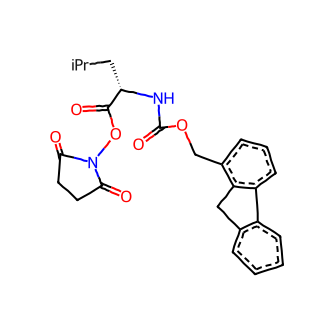 CC(C)C[C@H](NC(=O)OCc1cccc2c1Cc1ccccc1-2)C(=O)ON1C(=O)CCC1=O